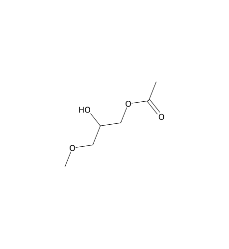 COCC(O)COC(C)=O